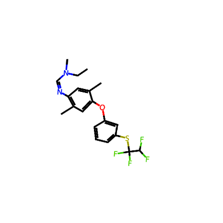 CCN(C)/C=N\c1cc(C)c(Oc2cccc(SC(F)(F)C(F)F)c2)cc1C